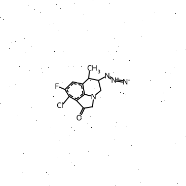 CC1c2cc(F)c(Cl)c3c2N(CC3=O)CC1N=[N+]=[N-]